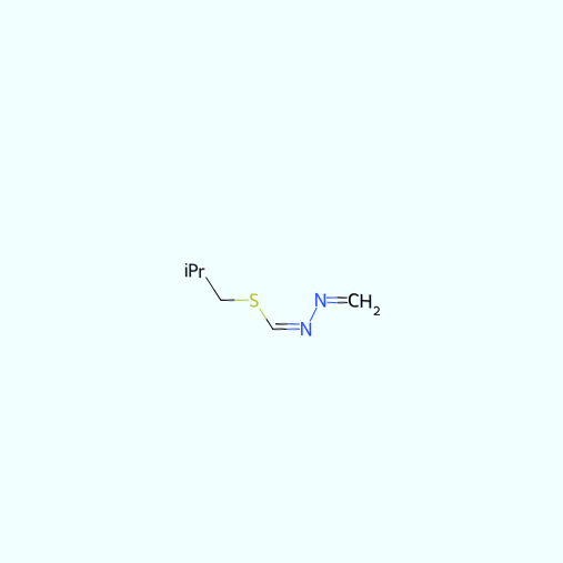 C=N/N=C\SCC(C)C